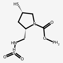 O=C(OP)N1C[C@@H](S)C[C@H]1CN[SH](=O)=O